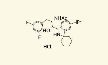 CC(=O)N[C@@H](Cc1cc(F)cc(F)c1)[C@@H](O)CNC1(c2cccc(C(C)C)c2)CCCCC1.Cl